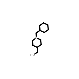 OCC1CCN(CC2CCCCC2)CC1